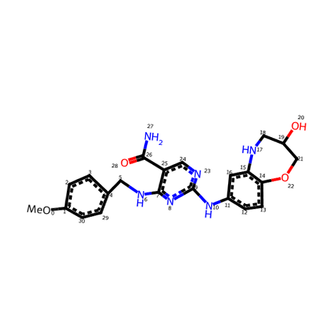 COc1ccc(CNc2nc(Nc3ccc4c(c3)NCC(O)CO4)ncc2C(N)=O)cc1